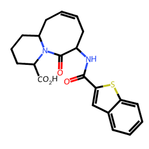 O=C(NC1CC=CCC2CCCC(C(=O)O)N2C1=O)c1cc2ccccc2s1